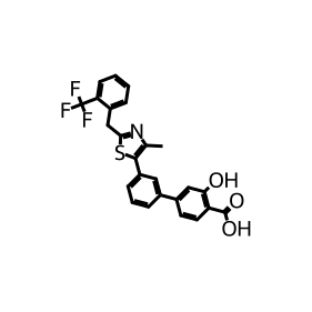 Cc1nc(Cc2ccccc2C(F)(F)F)sc1-c1cccc(-c2ccc(C(=O)O)c(O)c2)c1